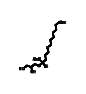 [CH2]CC(CCCOCCCCCCCCCCCCCCCC)(OC)OCC(O)CO